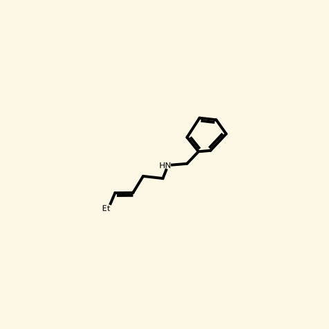 CC/C=C/CCNCc1ccccc1